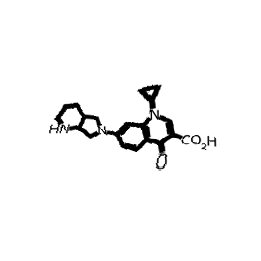 O=C(O)c1cn(C2CC2)c2cc(N3CC4CCCNC4C3)ccc2c1=O